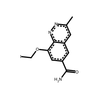 Cc1cc2cc(C(N)=O)cc(OCI)c2nn1